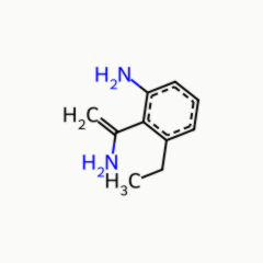 C=C(N)c1c(N)cccc1CC